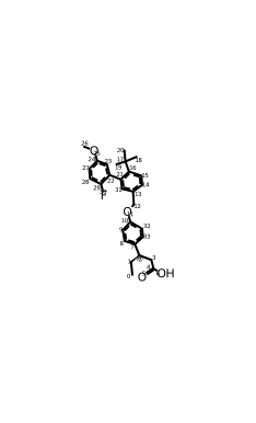 CC[C@H](CC(=O)O)c1ccc(OCc2ccc(C(C)(C)C)c(-c3cc(OC)ccc3F)c2)cc1